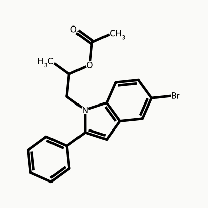 CC(=O)OC(C)Cn1c(-c2ccccc2)cc2cc(Br)ccc21